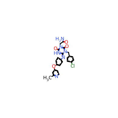 Cc1cc(Oc2ccc(/N=c3\[nH]c(=O)n(CC(N)=O)c(=O)n3Cc3ccc(Cl)cc3)cc2)ccn1